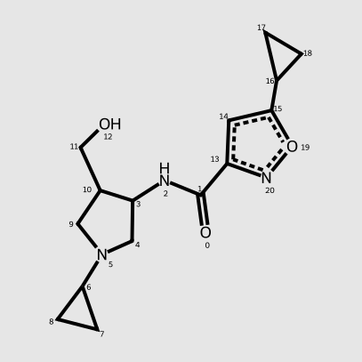 O=C(NC1CN(C2CC2)CC1CO)c1cc(C2CC2)on1